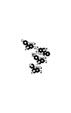 COc1cc2c(cc1OC)C(C(C)(O)c1ccccc1)CN(C)C2.COc1cc2c(cc1OC)C(C1(O)CCC(=NO)CC1)CN(C)C2.COc1cc2c(cc1OC)C(C1(O)CCC(=O)CC1)CN(C)C2.COc1cc2c(cc1OC)C(C1(O)CCOCC1)CN(C)C2